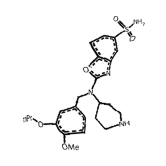 CCCOc1cc(CN(c2nc3cc(S(N)(=O)=O)ccc3o2)C2CCNCC2)ccc1OC